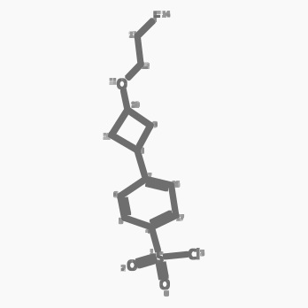 O=S(=O)(Cl)c1ccc(C2CC(OCCF)C2)cc1